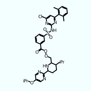 Cc1cccc(C)c1-c1cc(Cl)nc(NS(=O)(=O)c2cccc(C(=O)OOCC3NC(c4ncc(OC(C)C)cn4)CCC3C(C)C)c2)n1